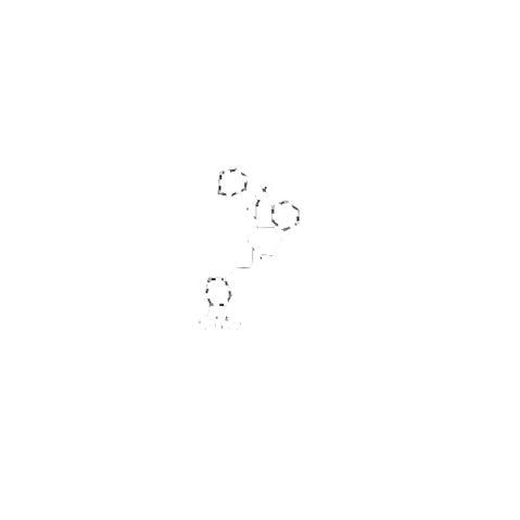 COc1ccc(CCN2CCCC(N=S(=O)(c3ccccc3)c3ccccc3)C2)cc1